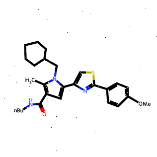 CCCCNC(=O)c1cc(-c2csc(-c3ccc(OC)cc3)n2)n(CC2CCCCC2)c1C